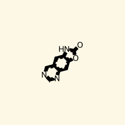 O=c1[nH]c2cc3cn[c]nc3cc2o1